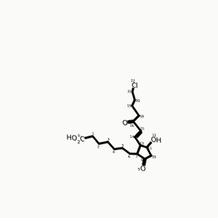 O=C(O)CCCCCCC1C(=O)CC(O)C1C=CC(=O)CCCCCl